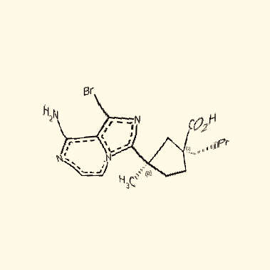 CC(C)[C@]1(C(=O)O)CC[C@@](C)(c2nc(Br)c3c(N)nccn23)C1